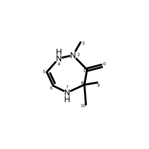 C=C1N(C)NC=CNC1(C)C